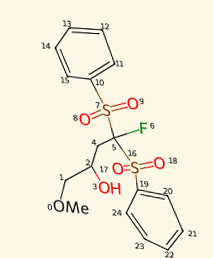 COCC(O)CC(F)(S(=O)(=O)c1ccccc1)S(=O)(=O)c1ccccc1